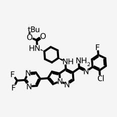 CC(C)(C)OC(=O)N[C@H]1CC[C@H](Nc2c(C(N)=Nc3cc(F)ccc3Cl)cnn3cc(-c4cnc(C(F)F)nc4)cc23)CC1